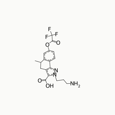 CC1Cc2c(nn(CCCN)c2C(=O)O)-c2ccc(OC(=O)C(F)(F)F)cc21